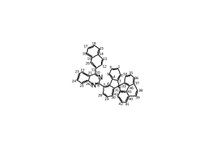 c1ccc2c(c1)-c1c(-c3nc(-c4ccc5ccccc5c4)c4ccccc4n3)cccc1C21c2cccc3ccc4cccc1c4c23